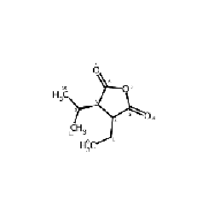 CCC1C(=O)OC(=O)[C@@H]1C(C)C